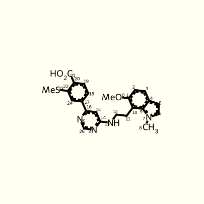 COc1ccc2ccn(C)c2c1CCNc1cc(-c2ccc(C(=O)O)c(SC)c2)ncn1